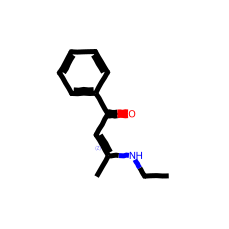 CCN/C(C)=C\C(=O)c1ccccc1